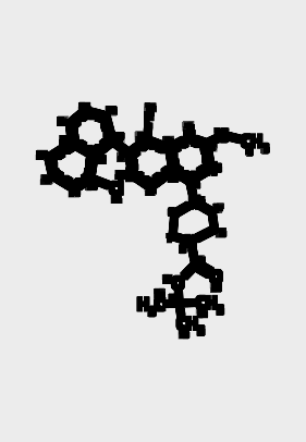 CSc1nc(N2CCN(C(=O)OC(C)(C)C)CC2)c2cnc(-c3cccc4cccc(Cl)c34)c(F)c2n1